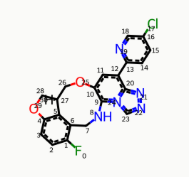 Fc1ccc2c3c1CNc1c(cc(-c4ccc(Cl)cn4)c4nncn14)OC[C@H]3CO2